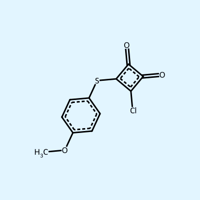 COc1ccc(Sc2c(Cl)c(=O)c2=O)cc1